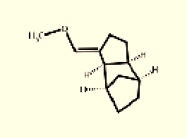 CO/C=C1\CC[C@H]2[C@H]3CC[C@H](C3)[C@@H]12